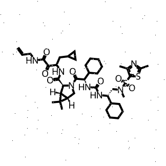 C=CCNC(=O)C(=O)C(CC1CC1)NC(=O)[C@@H]1[C@@H]2[C@H](CN1C(=O)[C@@H](NC(=O)N[C@H](CN(C)S(=O)(=O)c1sc(C)nc1C)C1CCCCC1)C1CCCCC1)C2(C)C